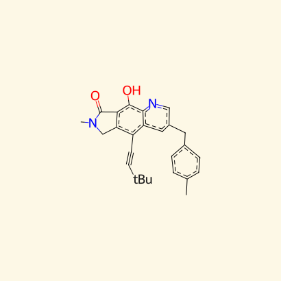 Cc1ccc(Cc2cnc3c(O)c4c(c(C#CC(C)(C)C)c3c2)CN(C)C4=O)cc1